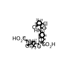 CC1(C)[C@H](C(=O)N[C@@H](Cc2ccc(NC(=O)c3c(Cl)cccc3Cl)cc2)C(=O)O)CC[C@]1(C)C(=O)NCC(=O)O